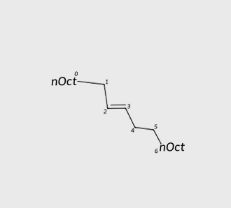 [CH2]CCCCCCCCC=CCCCCCCCCC[CH2]